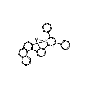 CC1(C)c2ccc3ccc4ccccc4c3c2-c2cccc(-c3nc(-c4ccccc4)cc(-c4ccccc4)n3)c21